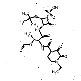 CCN1CCN(C(=O)NC(C(=O)N[C@@H]2C(=O)N(S(=O)(=O)O)[C@@H]2SC(C)(C)C)[C@H](C)OC=O)C(=O)C1=O